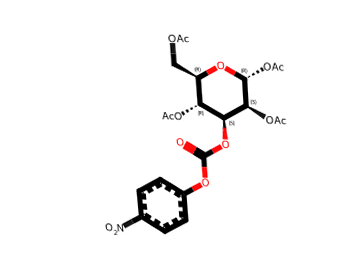 CC(=O)OC[C@H]1O[C@H](OC(C)=O)[C@@H](OC(C)=O)[C@@H](OC(=O)Oc2ccc([N+](=O)[O-])cc2)[C@@H]1OC(C)=O